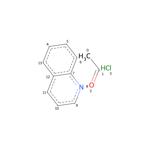 C[C]=O.Cl.c1ccc2ncccc2c1